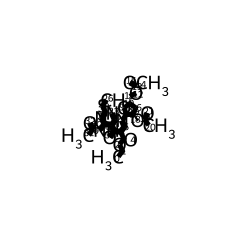 CCOC(=O)c1cn(C2O[C@H](COC(C)=O)C[C@H]2OC(C)=O)c2nc(SC)nc(NC(C)=O)c2c1=O